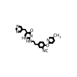 [C-]#[N+]c1cc(CCNc2nc(=O)c(Cc3cncnc3)c[nH]2)ccc1Oc1ccc(C)cn1